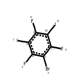 Fc1c(Br)c(F)c(I)c(F)c1I